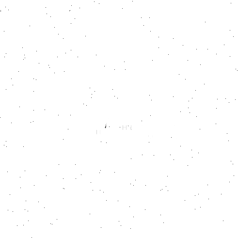 O=C(NC[C@@H](O)Cc1ccccc1Cl)OC1CC1